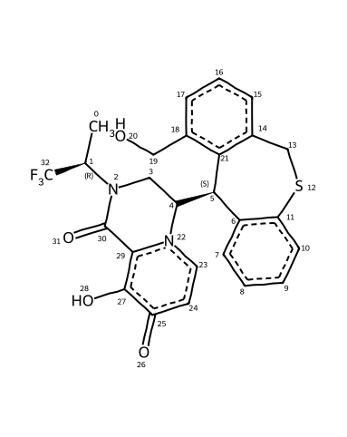 C[C@@H](N1CC([C@@H]2c3ccccc3SCc3cccc(CO)c32)n2ccc(=O)c(O)c2C1=O)C(F)(F)F